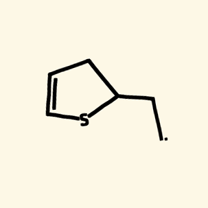 [CH2]CC1CC=CS1